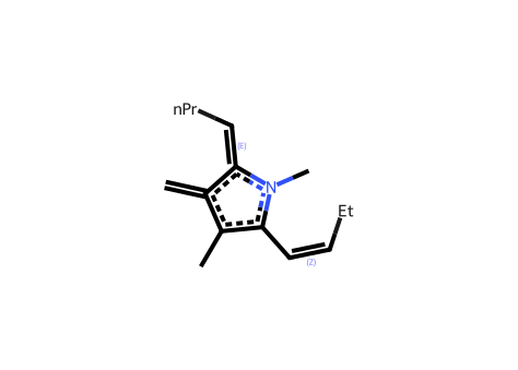 C=c1c(C)c(/C=C\CC)n(C)/c1=C/CCC